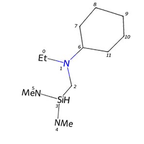 CCN(C[SiH](NC)NC)C1CCCCC1